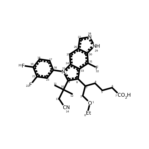 CCOCC(CCCC(=O)O)c1c(C(C)(C)CC#N)n(-c2ccc(F)c(F)c2)c2cc3cn[nH]c3c(F)c12